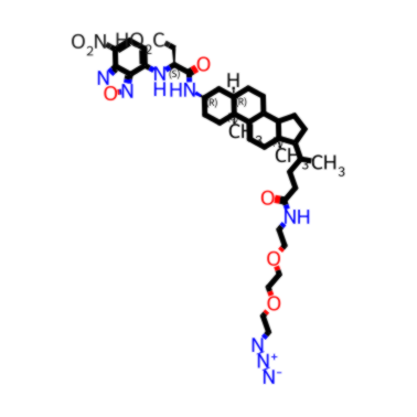 CC(CCC(=O)NCCOCCOCCN=[N+]=[N-])C1CCC2C3CC[C@@H]4C[C@H](NC(=O)[C@H](CC(=O)O)Nc5ccc([N+](=O)[O-])c6nonc56)CC[C@]4(C)C3CC[C@]12C